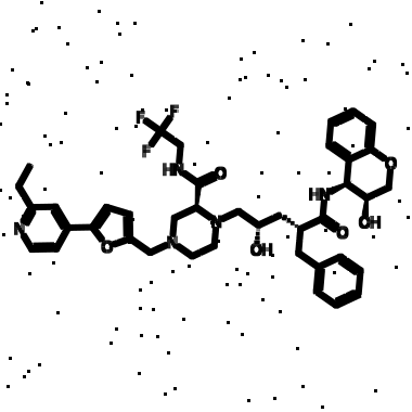 CCc1cc(-c2ccc(CN3CCN(C[C@@H](O)C[C@@H](Cc4ccccc4)C(=O)N[C@H]4c5ccccc5OC[C@H]4O)[C@H](C(=O)NCC(F)(F)F)C3)o2)ccn1